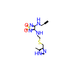 C#CCNC1=NS(=O)(=O)N=C1NCCSCc1nc[nH]c1C